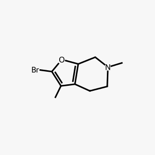 Cc1c(Br)oc2c1CCN(C)C2